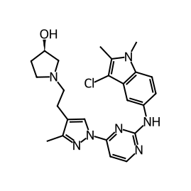 Cc1nn(-c2ccnc(Nc3ccc4c(c3)c(Cl)c(C)n4C)n2)cc1CCN1CC[C@@H](O)C1